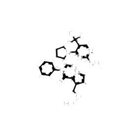 COCc1ccn2nc([C@@H]3CCCN3c3nc(N)ncc3C(F)(F)F)n(-c3ccccc3)c(=O)c12